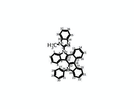 Cn1c(-n2c3ccccc3c3c2c2ccccc2c2c4ccccc4n(-c4ccccc4)c23)nc2ccccc21